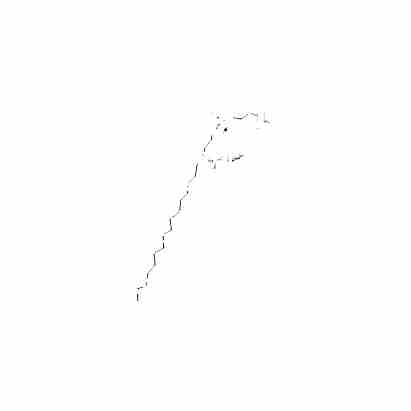 CCCCCCCCCCCCCCCCN(CCOP(=O)([O-])OCC[N+](C)(C)C)C(=O)NCC